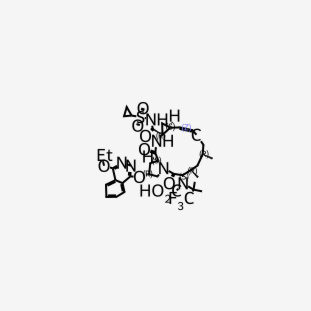 CCOc1nnc(O[C@@H]2C[C@H]3C(=O)N[C@]4(C(=O)NS(=O)(=O)C5CC5)C[C@H]4/C=C\CC[C@@H](C)C[C@@H](C)[C@H](N(C(=O)O)C(C)(C)C(F)(F)F)C(=O)N3C2)c2ccccc12